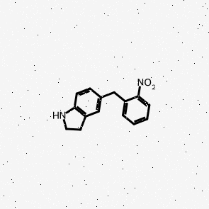 O=[N+]([O-])c1ccccc1Cc1ccc2c(c1)CCN2